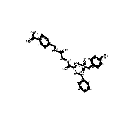 N=C(N)c1ccc(CNC(=O)CNC(=O)[C@@H](CCc2ccccc2)NS(=O)(=O)Cc2ccc(O)cc2)cc1